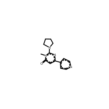 Cn1c(N2CCCC2)nc(-c2ccncc2)cc1=O